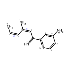 C/C=C\C(N)=C/C(=N)c1cc(N)ccn1